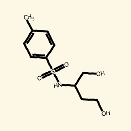 Cc1ccc(S(=O)(=O)NC(CO)CCO)cc1